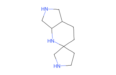 C1CC2(CCC3CNCC3N2)CN1